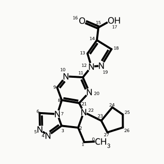 CCC1c2nncn2-c2cnc(-n3cc(C(=O)O)cn3)nc2N1C1CCCC1